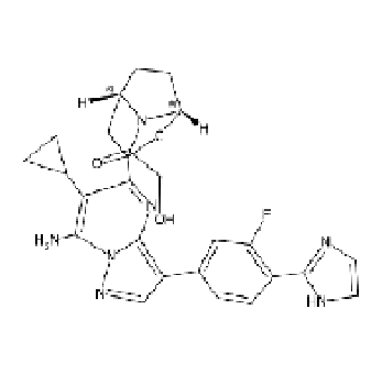 Nc1c(C2CC2)c(C2C[C@H]3CC[C@@H](C2)N3C(=O)CO)nc2c(-c3ccc(-c4ncc[nH]4)c(F)c3)cnn12